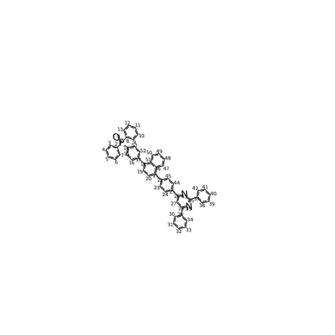 O=P(c1ccccc1)(c1ccccc1)c1ccc(-c2ccc(-c3ccc(-c4cc(-c5ccccc5)nc(-c5ccccc5)n4)cc3)c3ccccc23)cc1